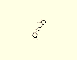 O=S(=O)(/C=C/c1ncccc1Cl)c1cccc(Cl)c1